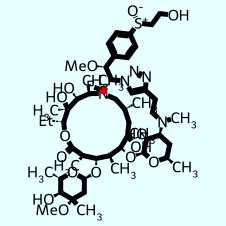 CC[C@H]1OC(=O)[C@H](C)[C@@H](O[C@H]2C[C@@](C)(OC)[C@@H](O)[C@H](C)O2)[C@H](C)[C@@H](O[C@@H]2O[C@H](C)C[C@H](N(C)CCc3cn([C@H](CF)[C@H](OC)c4ccc([S+]([O-])CCO)cc4)nn3)[C@H]2O)[C@](C)(O)C[C@@H](C)CN(C)[C@H](C)[C@@H](O)[C@]1(C)O